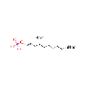 CCCCCCCCCCCCCCCCC=COP(=O)([O-])[O-].[Ba+2]